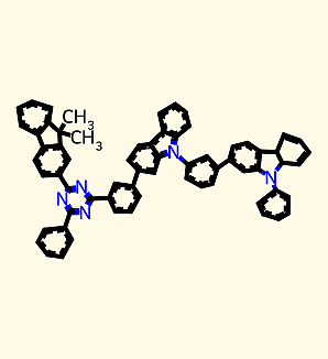 CC1(C)c2ccccc2-c2ccc(-c3nc(-c4ccccc4)nc(-c4cccc(-c5ccc6c7ccccc7n(-c7cccc(-c8ccc9c(c8)N(c8ccccc8)C8C=CC=CC98)c7)c6c5)c4)n3)cc21